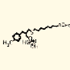 CCCCCCCCCCCCCCCCCCSCC(COP(=O)(O)O)Cc1ccc(C)cc1